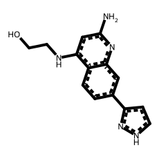 Nc1cc(NCCO)c2ccc(-c3cc[nH]n3)cc2n1